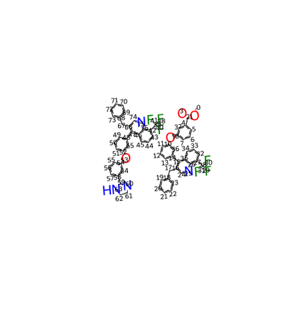 COC(=O)c1cccc(Oc2cccc(-c3c(Cc4ccccc4)cnc4c(C(F)(F)F)cccc34)c2)c1.FC(F)(F)c1cccc2c(-c3cccc(Oc4cccc(C5=NCCN5)c4)c3)c(Cc3ccccc3)cnc12